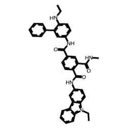 CCNc1ccc(NC(=O)c2ccc(C(=O)Nc3ccc4c(c3)c3ccccc3n4CC)c(C(=O)NC)c2)cc1-c1ccccc1